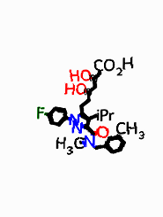 Cc1cccc(CN(C)C(=O)c2nn(-c3ccc(F)cc3)c(CC[C@@H](O)C[C@@H](O)CC(=O)O)c2C(C)C)c1